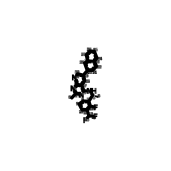 Cc1nc(N[C@H](C)c2cccc(C(F)F)c2F)c2cc(-c3ccc4ccccc4c3)cnc2n1